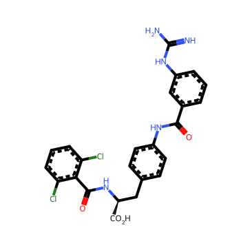 N=C(N)Nc1cccc(C(=O)Nc2ccc(C[C@H](NC(=O)c3c(Cl)cccc3Cl)C(=O)O)cc2)c1